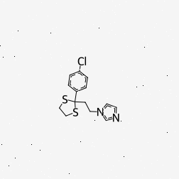 Clc1ccc(C2(CCn3ccnc3)SCCS2)cc1